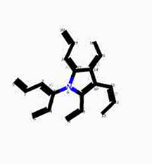 C=C/C=C(\C=C)n1c(C=C)c(/C=C\C)c(=C/C)/c1=C\C=C